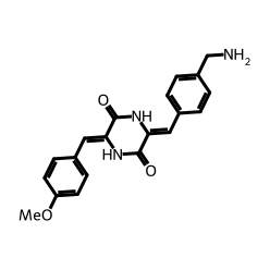 COc1ccc(C=c2[nH]c(=O)c(=Cc3ccc(CN)cc3)[nH]c2=O)cc1